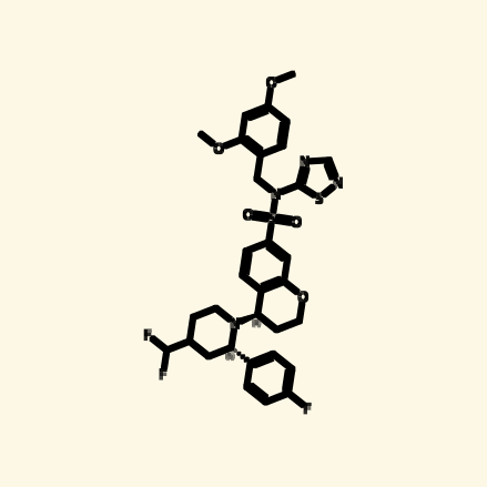 COc1ccc(CN(c2ncns2)S(=O)(=O)c2ccc3c(c2)OCC[C@H]3N2CCC(C(F)F)C[C@H]2c2ccc(F)cc2)c(OC)c1